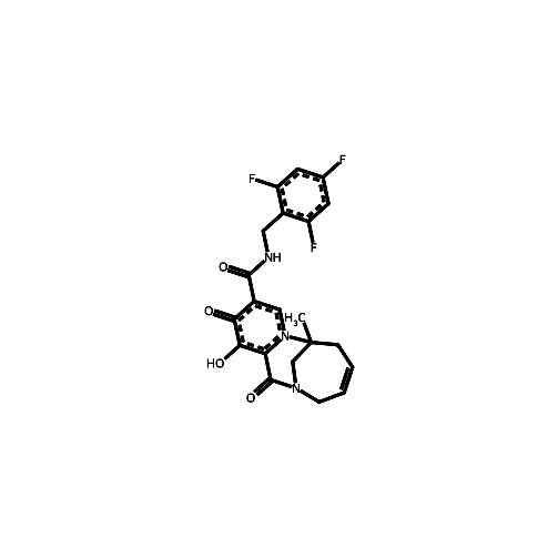 CC12CC=CCN(C1)C(=O)c1c(O)c(=O)c(C(=O)NCc3c(F)cc(F)cc3F)cn12